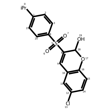 CC(C)c1ccc(S(=O)(=O)C2=Cc3cc(Cl)ccc3OC2O)cc1